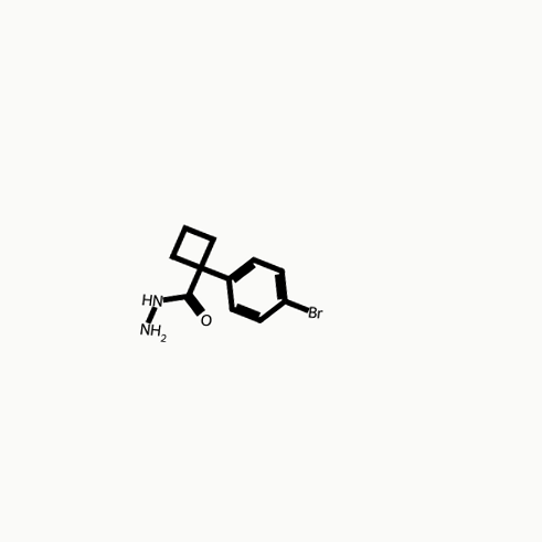 NNC(=O)C1(c2ccc(Br)cc2)CCC1